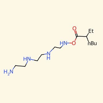 CCCCC(CC)C(=O)ONCCNCCNCCN